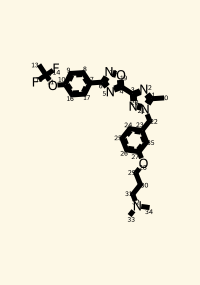 Cc1nc(-c2nc(-c3ccc(OC(C)(F)F)cc3)no2)nn1Cc1cccc(OCCCN(C)C)c1